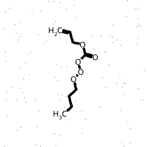 C=CCOC(=O)OOOCCCC